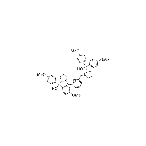 COc1ccc(C(O)(c2ccc(OC)cc2)[C@@H]2CCCN2Cc2cccc(CN3CCC[C@H]3C(O)(c3ccc(OC)cc3)c3ccc(OC)cc3)n2)cc1